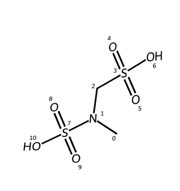 CN(CS(=O)(=O)O)S(=O)(=O)O